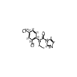 CCN(C(=O)n1ccnc1)c1ccc(Cl)cc1Cl